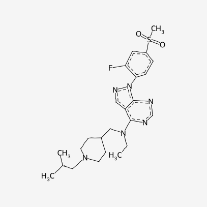 CCN(CC1CCN(C[C](C)C)CC1)c1ncnc2c1cnn2-c1ccc(S(C)(=O)=O)cc1F